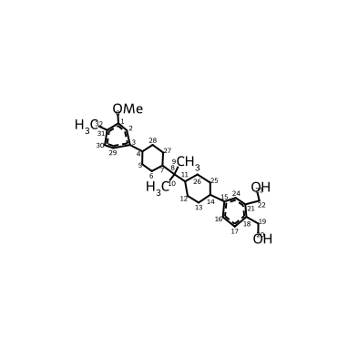 COc1cc(C2CCC(C(C)(C)C3CCC(c4ccc(CO)c(CO)c4)CC3)CC2)ccc1C